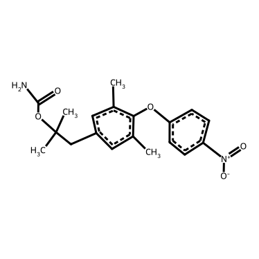 Cc1cc(CC(C)(C)OC(N)=O)cc(C)c1Oc1ccc([N+](=O)[O-])cc1